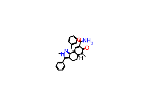 C[C@@H]1C(=O)C(C(N)=O)=C[C@]2(Cc3ccccc3)c3nn(C)c(-c4ccccc4)c3CC[C@@H]12